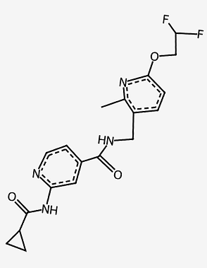 Cc1nc(OCC(F)F)ccc1CNC(=O)c1ccnc(NC(=O)C2CC2)c1